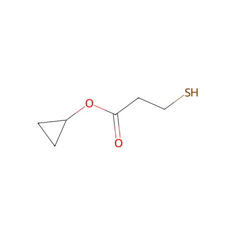 O=C(CCS)OC1CC1